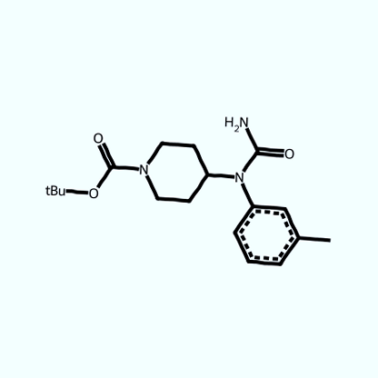 Cc1cccc(N(C(N)=O)C2CCN(C(=O)OC(C)(C)C)CC2)c1